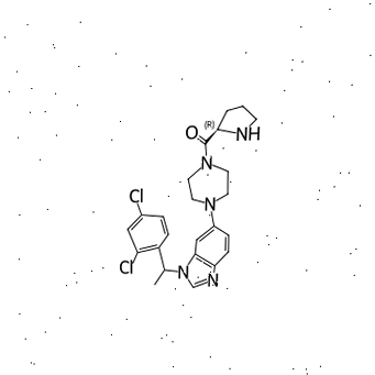 CC(c1ccc(Cl)cc1Cl)n1cnc2ccc(N3CCN(C(=O)[C@H]4CCCN4)CC3)cc21